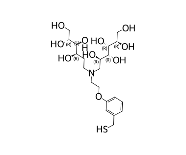 OC[C@@H](O)[C@@H](O)[C@H](O)CCN(CCOc1cccc(CS)c1)C[C@@H](O)[C@@H](O)[C@H](O)[C@H](O)CO